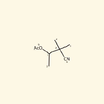 CC(=O)OC(C)C(C)(C)C#N